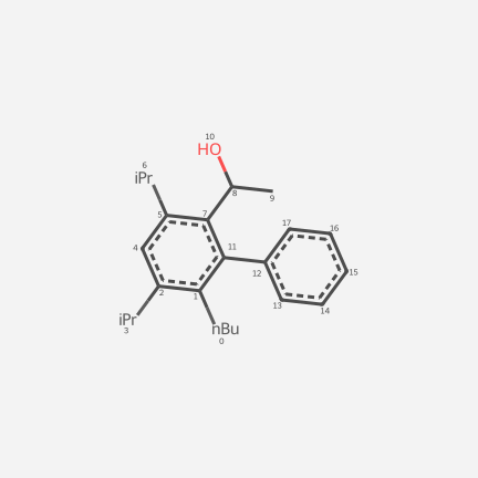 CCCCc1c(C(C)C)cc(C(C)C)c(C(C)O)c1-c1ccccc1